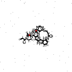 C=CC(=O)N1CCN(c2nc(=O)n3c4nc(c(F)cc24)-c2c(F)cccc2NC(=O)CCSc2ncnc(C(C)C)c2-3)[C@@H]2C[C@@H]21